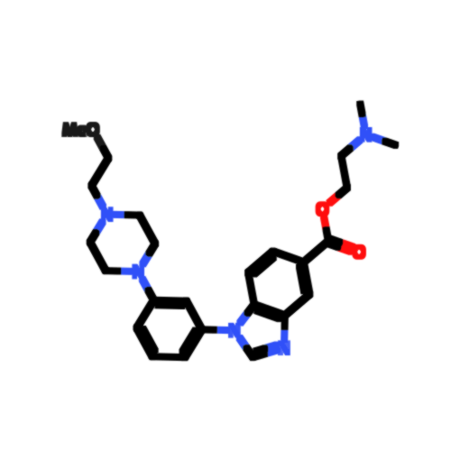 COCCN1CCN(c2cccc(-n3cnc4cc(C(=O)OCCN(C)C)ccc43)c2)CC1